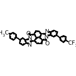 Cc1ccc(-c2ccc3nc4c5ccc6c(=O)n7c8cc(-c9ccc(C(F)(F)F)cc9)ccc8nc7c7ccc(c(=O)n4c3c2)c5c67)cc1